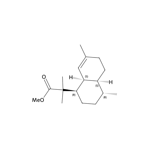 COC(=O)C(C)(C)[C@@H]1CC[C@@H](C)[C@@H]2CCC(C)=C[C@@H]21